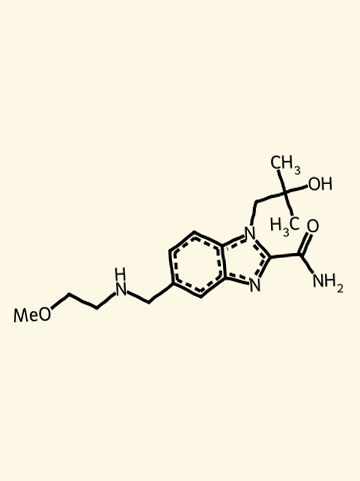 COCCNCc1ccc2c(c1)nc(C(N)=O)n2CC(C)(C)O